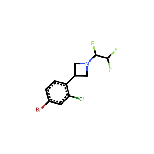 FC(F)C(F)N1CC(c2ccc(Br)cc2Cl)C1